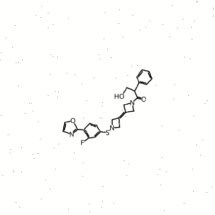 O=C(C(CO)c1ccccc1)N1CC(=C2CN(Sc3ccc(-c4ncco4)c(F)c3)C2)C1